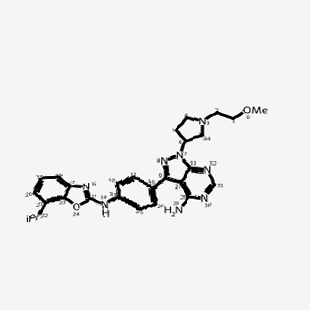 COCCN1CCC(n2nc(-c3ccc(Nc4nc5cccc(C(C)C)c5o4)cc3)c3c(N)ncnc32)C1